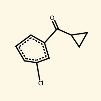 O=C(c1c[c]cc(Cl)c1)C1CC1